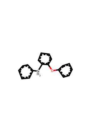 c1ccc(Oc2ccccc2[SiH2]c2ccccc2)cc1